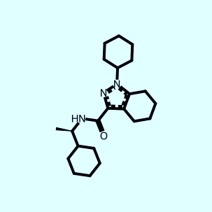 C[C@@H](NC(=O)c1nn(C2CCCCC2)c2c1CCCC2)C1CCCCC1